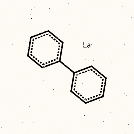 [La].c1ccc(-c2ccccc2)cc1